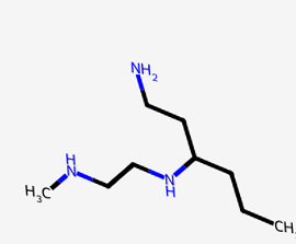 CCCC(CCN)NCCNC